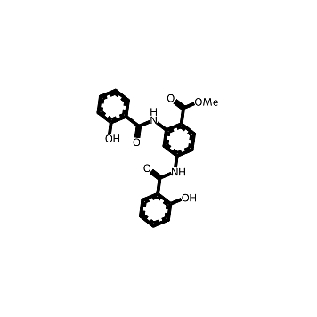 COC(=O)c1ccc(NC(=O)c2ccccc2O)cc1NC(=O)c1ccccc1O